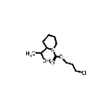 CC(O)C1CCCCN1C(=O)OCCCCl